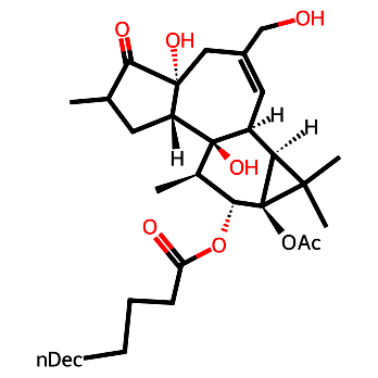 CCCCCCCCCCCCCC(=O)O[C@@H]1[C@@H](C)[C@@]2(O)[C@@H](C=C(CO)C[C@]3(O)C(=O)C(C)C[C@@H]23)[C@H]2C(C)(C)[C@]12OC(C)=O